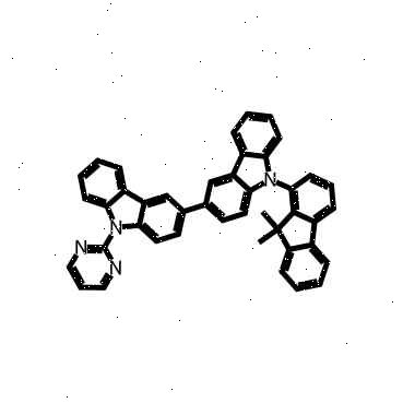 CC1(C)c2ccccc2-c2cccc(-n3c4ccccc4c4cc(-c5ccc6c(c5)c5ccccc5n6-c5ncccn5)ccc43)c21